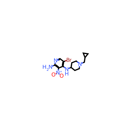 Nc1ncc(Br)c(NC2CCN(CC3CC3)CC2)c1[N+](=O)[O-]